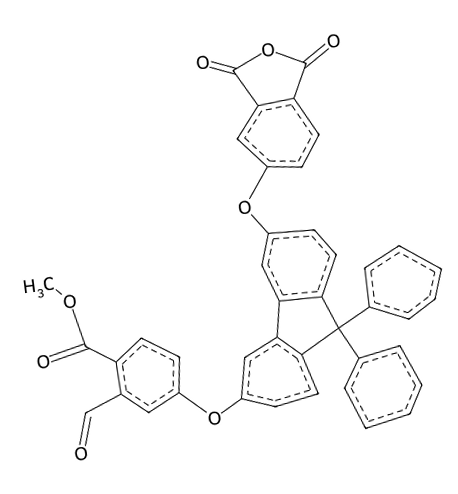 COC(=O)c1ccc(Oc2ccc3c(c2)-c2cc(Oc4ccc5c(c4)C(=O)OC5=O)ccc2C3(c2ccccc2)c2ccccc2)cc1C=O